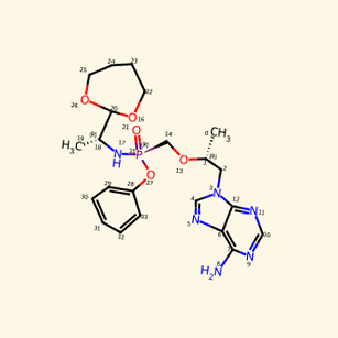 C[C@H](Cn1cnc2c(N)ncnc21)OC[P@](=O)(N[C@H](C)C1OCCCCO1)Oc1ccccc1